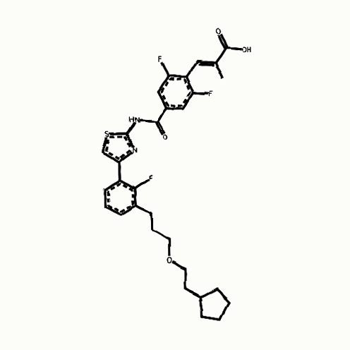 C/C(=C\c1c(F)cc(C(=O)Nc2nc(-c3cccc(CCCOCCC4CCCC4)c3F)cs2)cc1F)C(=O)O